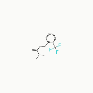 C=C(CCc1ccccc1C(F)(F)F)C(C)C